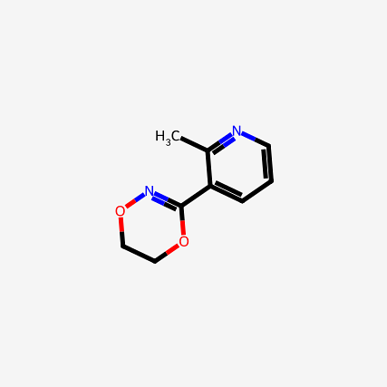 Cc1ncccc1C1=NOCCO1